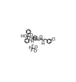 O=C(C[N+]12CCC(CC1)[C@@H](OC(=O)C(O)(c1ccccc1)c1ccccc1)C2)NCc1cccc(Cl)c1.O=C([O-])C(F)(F)F